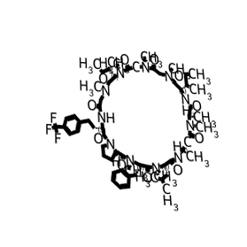 CCC(C)[C@@H]1NC(=O)[C@H](C)N(C)C(=O)C[C@@H](C)NC(=O)[C@H](CC(C)C)N(C)C(=O)[C@H](Cc2ccccc2)N(C)C(=O)[C@@H]2CCCN2C(=O)[C@H](CCc2ccc(C(F)(F)F)cc2)NC(=O)CN(C)C(=O)[C@H](C(C)CC)N(C)C(=O)CN(C)C(=O)CN(C)C1=O